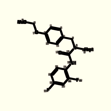 CCCCCCCN(Cc1ccc(OCOC)cc1)C(=O)Nc1ccc(F)cc1F